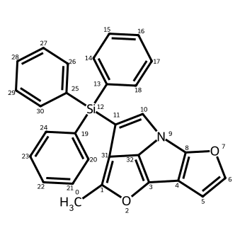 Cc1oc2c3ccoc3n3cc([Si](c4ccccc4)(c4ccccc4)c4ccccc4)c1c23